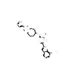 COc1cccc2cc(C(=O)N[C@@H](CC(C)C)C(=O)NC3CCCN(S(=O)(=O)c4cccs4)CC3=O)oc12